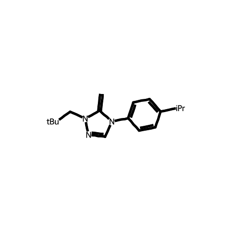 C=C1N(CC(C)(C)C)N=CN1c1ccc(C(C)C)cc1